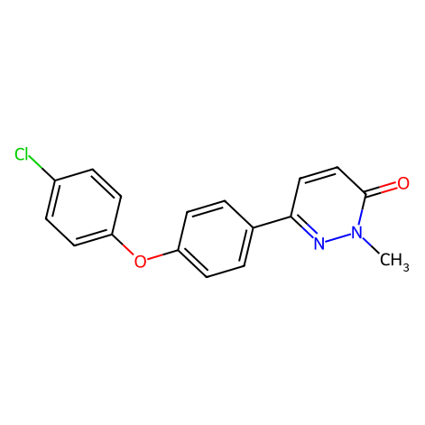 Cn1nc(-c2ccc(Oc3ccc(Cl)cc3)cc2)ccc1=O